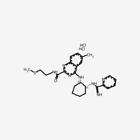 CSCCNC(=O)c1nc(N[C@H]2CCCC[C@H]2NC(=N)c2ccccn2)c2cc(C)ccc2n1.Cl.Cl